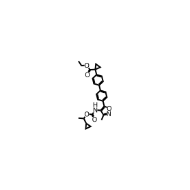 CCOC(=O)C1(c2ccc(-c3ccc(-c4onc(C)c4NC(=O)OC(C)C4CC4)cc3)cc2)CC1